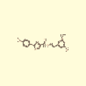 COc1ccc(-c2nc(C(=O)NN=Cc3cc(OC)cc(OC)c3)cs2)cc1